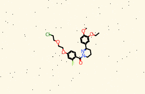 CCOc1cc(C2=NN(C(=O)c3ccc(OCCOCCCl)cc3F)CCC2)ccc1OC